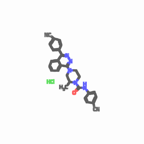 CC1CN(c2nnc(-c3ccc(C#N)cc3)c3ccccc23)CCN1C(=O)Nc1ccc(C#N)cc1.Cl